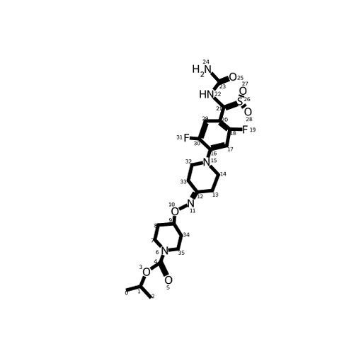 CC(C)OC(=O)N1CCC(ON=C2CCN(c3cc(F)c(C(NC(N)=O)=S(=O)=O)cc3F)CC2)CC1